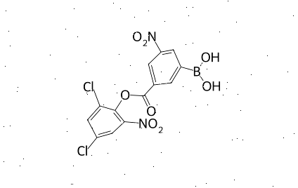 O=C(Oc1c(Cl)cc(Cl)cc1[N+](=O)[O-])c1cc(B(O)O)cc([N+](=O)[O-])c1